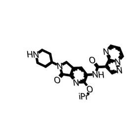 CC(C)Oc1nc2c(cc1NC(=O)c1cnn3cccnc13)CN(C1CCNCC1)C2=O